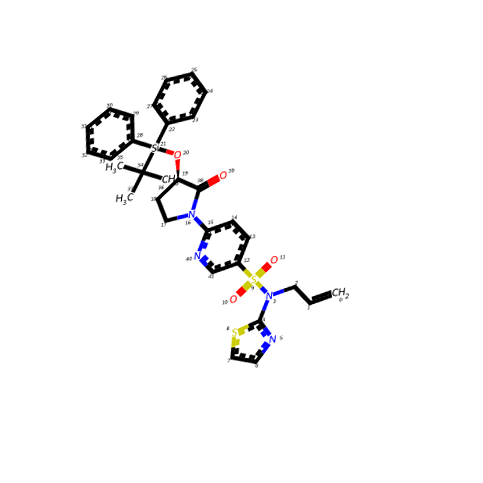 C=CCN(c1nccs1)S(=O)(=O)c1ccc(N2CC[C@@H](O[Si](c3ccccc3)(c3ccccc3)C(C)(C)C)C2=O)nc1